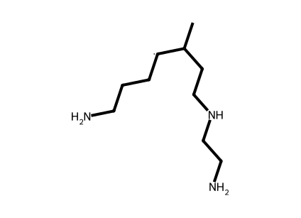 CC([CH]CCCN)CCNCCN